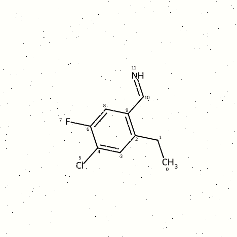 CCc1cc(Cl)c(F)cc1C=N